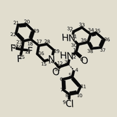 O=C(N[C@H](Cc1ccc(Cl)cc1)C(=O)N1CCC(c2ccccc2C(F)(F)F)CC1)C1N[CH]Cc2ccccc21